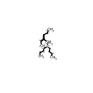 CCC=C(CC)[SiH2]N(CCCC)CCCC